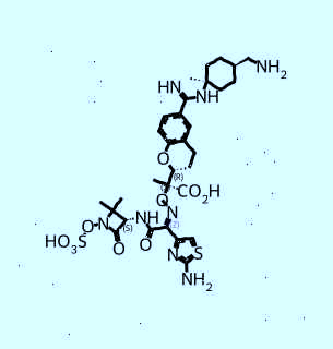 CC1(C)[C@H](NC(=O)/C(=N\O[C@](C)(C(=O)O)[C@H]2CCc3cc(C(=N)N[C@]4(C)CC[C@H](CN)CC4)ccc3O2)c2csc(N)n2)C(=O)N1OS(=O)(=O)O